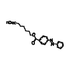 CCCCCCCCCCCCCCCCOC(=O)c1ccc(/N=N/c2ccccc2)cc1